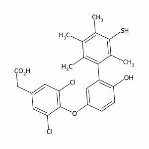 Cc1c(C)c(S)c(C)c(-c2cc(Oc3c(Cl)cc(CC(=O)O)cc3Cl)ccc2O)c1C